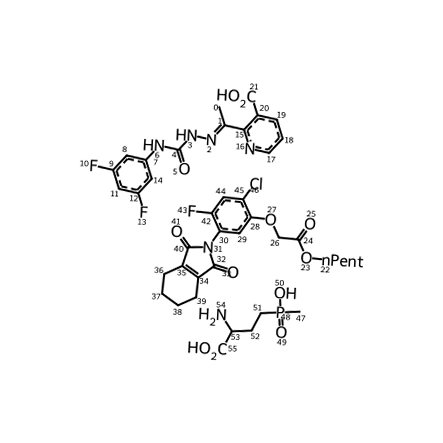 C/C(=N\NC(=O)Nc1cc(F)cc(F)c1)c1ncccc1C(=O)O.CCCCCOC(=O)COc1cc(N2C(=O)C3=C(CCCC3)C2=O)c(F)cc1Cl.CP(=O)(O)CCC(N)C(=O)O